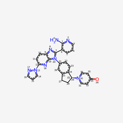 Nc1ncccc1-c1nc2ccc(-n3cccn3)nc2n1-c1ccc2c(c1)CC[C@@H]2n1ccc(=O)cc1